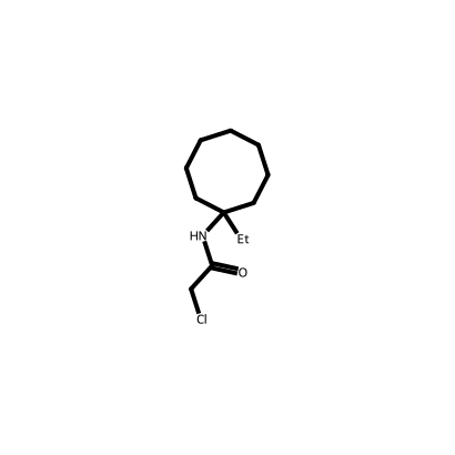 CCC1(NC(=O)CCl)CCCCCCC1